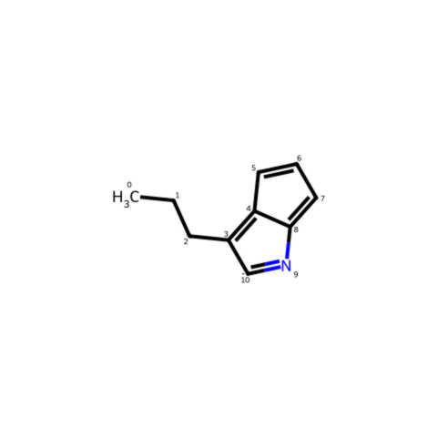 CCCC1=C2C=CC=C2N=[C]1